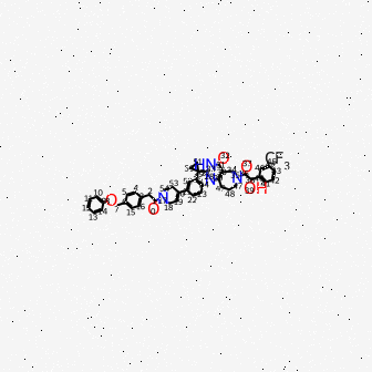 O=C(Cc1ccc(COc2ccccc2)cc1)N1CC=C(c2cccc(C3(c4nc5c(c(=O)[nH]4)CN(C(=O)[C@H](O)c4cccc(C(F)(F)F)c4)CCC5)CC3)c2)CC1